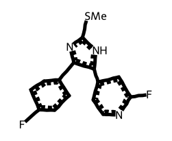 CSc1nc(-c2ccc(F)cc2)c(-c2ccnc(F)c2)[nH]1